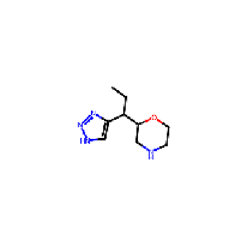 CC[C](c1c[nH]nn1)C1CNCCO1